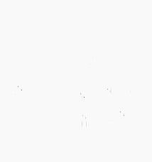 CCCn1c(=O)c2[nH]c(Cc3cccc([N+](=O)[O-])c3)nc2n(CCc2ccccc2C(=O)O)c1=O